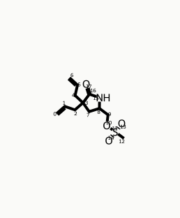 C=CCC1(CC=C)CC(COS(C)(=O)=O)NC1=O